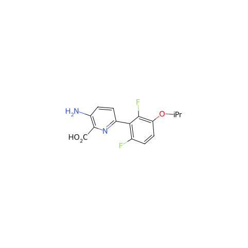 CC(C)Oc1ccc(F)c(-c2ccc(N)c(C(=O)O)n2)c1F